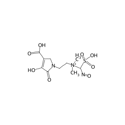 C[N+](C)(CCN1CC(C(=O)O)=C(O)C1=O)C(N=O)S(=O)(=O)O